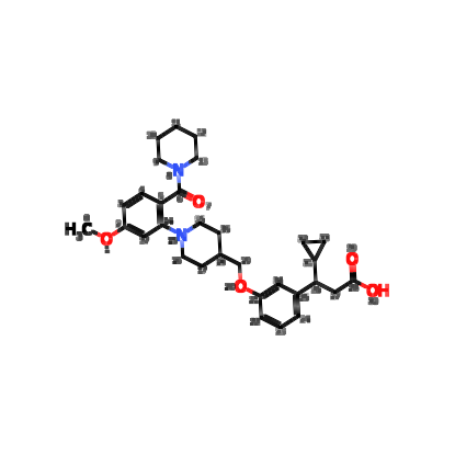 COc1ccc(C(=O)N2CCCCC2)c(N2CCC(COc3cccc(C(CC(=O)O)C4CC4)c3)CC2)c1